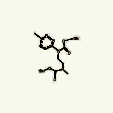 CN(CCN(C(=O)OC(C)(C)C)c1ccc(I)nn1)C(=O)OC(C)(C)C